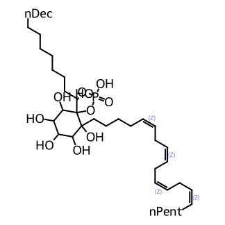 CCCCC/C=C\C/C=C\C/C=C\C/C=C\CCCCC1(O)C(O)C(O)C(O)C(O)C1(OP(=O)(O)O)C(=O)CCCCCCCCCCCCCCCCC